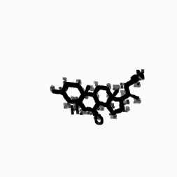 CC1CC[C@]2(C)C3CC[C@@]4(C)C(CCC4[C@H](C)CC#N)C3C(=O)C[C@@H]2C1